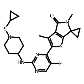 Cc1c(-c2nc(NC3CCN(SC4CC4)CC3)ncc2F)sc2c1C(=O)N(C)C21CC1